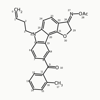 C=CCCn1c2ccc(C(=O)c3ccccc3C)cc2c2c3c(ccc21)/C(=N/OC(C)=O)CO3